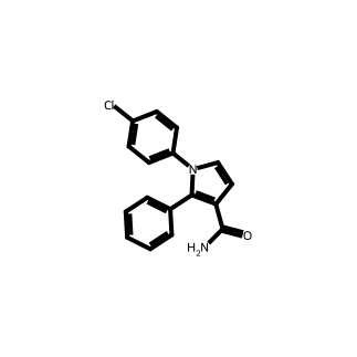 NC(=O)c1ccn(-c2ccc(Cl)cc2)c1-c1ccccc1